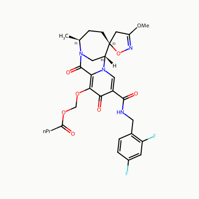 CCCC(=O)OCOc1c2n(cc(C(=O)NCc3ccc(F)cc3F)c1=O)[C@@H]1CN(C2=O)[C@@H](C)CC[C@]12CC(OC)=NO2